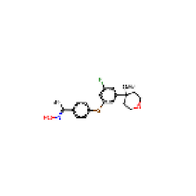 COC1(c2cc(F)cc(Sc3ccc(C(=NO)C(C)C)cc3)c2)CCOCC1